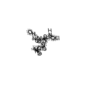 CNC(=O)[C@H](CCCc1ccccc1)NC(=O)C1CN(C(=O)Cc2c[nH]c3cc(Cl)ccc23)CC2CN(C(=O)c3ccc4c(c3)c(OC)nn4C(C)C)CC21